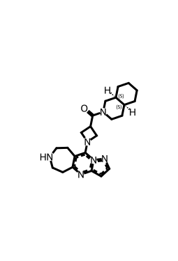 O=C(C1CN(c2c3c(nc4ccnn24)CCNCC3)C1)N1CC[C@@H]2CCCC[C@@H]2C1